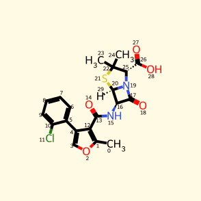 Cc1occ(-c2ccccc2Cl)c1C(=O)N[C@@H]1C(=O)N2[C@@H]1SC(C)(C)[C@@H]2C(=O)O